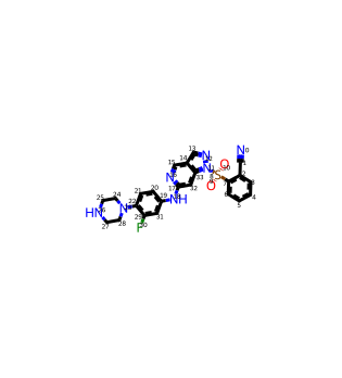 N#Cc1ccccc1S(=O)(=O)n1ncc2cnc(Nc3ccc(N4CCNCC4)c(F)c3)cc21